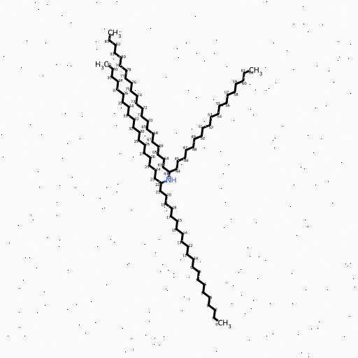 CCCCCCCCCCCCCCCCCCCCCCC(CCCCCCCCCCCCCCCCCCC)NC(CCCCCCCCCCCCCCCCCCC)CCCCCCCCCCCCCCCCCCCCCC